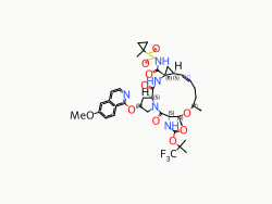 COc1ccc2c(O[C@@H]3C[C@H]4C(=O)N[C@]5(C(=O)NS(=O)(=O)C6(C)CC6)C[C@H]5/C=C\CC[C@@H](C)O[C@@H](C)[C@H](NC(=O)OC(C)(C)C(F)(F)F)C(=O)N4C3)nccc2c1